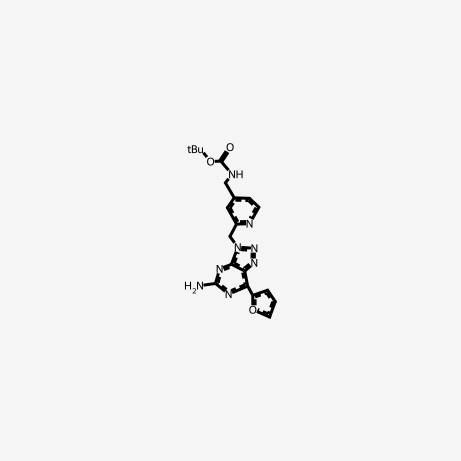 CC(C)(C)OC(=O)NCc1ccnc(Cn2nnc3c(-c4ccco4)nc(N)nc32)c1